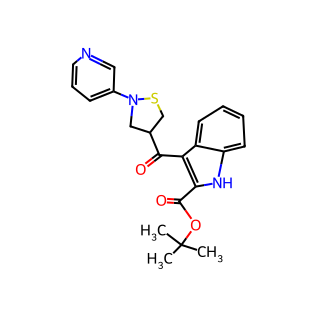 CC(C)(C)OC(=O)c1[nH]c2ccccc2c1C(=O)C1CSN(c2cccnc2)C1